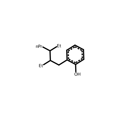 CCCC(CC)C(CC)Cc1ccccc1O